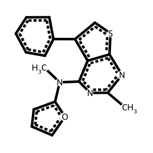 Cc1nc(N(C)c2ccco2)c2c(-c3ccccc3)csc2n1